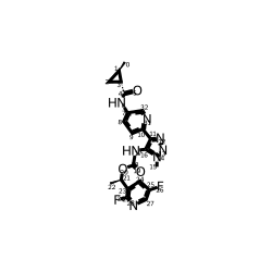 C[C@@H]1C[C@H]1C(=O)Nc1ccc(-c2nnn(C)c2NC(=O)O[C@H](C)c2cc(F)cnc2F)nc1